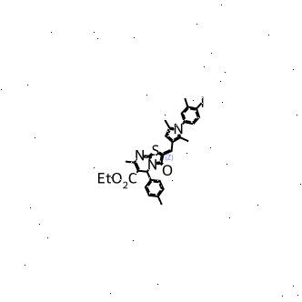 CCOC(=O)C1=C(C)N=c2s/c(=C\c3cc(C)n(-c4ccc(I)c(C)c4)c3C)c(=O)n2C1c1ccc(C)cc1